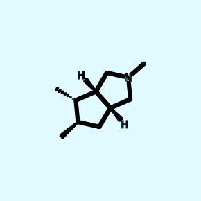 C[C@@H]1[C@@H]2CN(C)C[C@@H]2C[C@H]1C